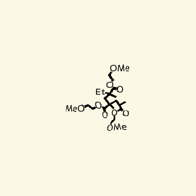 CCC(C)(CC(C)(CC(C)C(=O)OCCOC)C(=O)OCCOC)C(=O)OCCOC